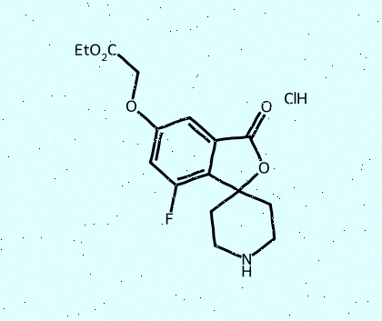 CCOC(=O)COc1cc(F)c2c(c1)C(=O)OC21CCNCC1.Cl